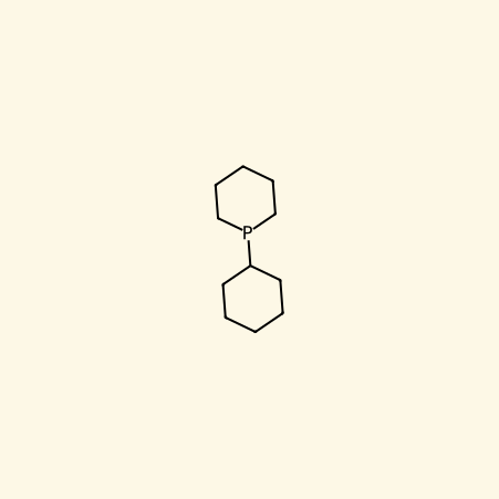 C1CCC(P2CCCCC2)CC1